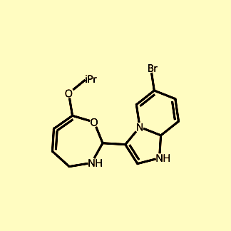 CC(C)OC1=C=CCNC(C2=CNC3C=CC(Br)=CN23)O1